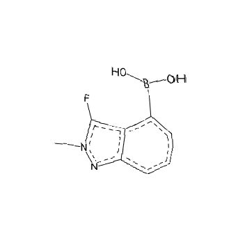 Cn1nc2cccc(B(O)O)c2c1F